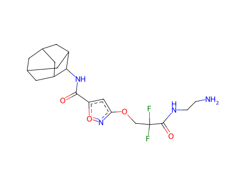 NCCNC(=O)C(F)(F)COc1cc(C(=O)NC2C3CC4CC(C3)CC2C4)on1